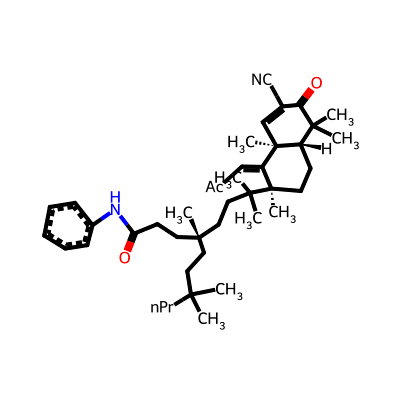 CCCC(C)(C)CC[C@](C)(CCC(=O)Nc1ccccc1)CCC(C)(C)[C@]1(C)CC[C@H]2C(C)(C)C(=O)C(C#N)=C[C@]2(C)/C1=C/C(C)=O